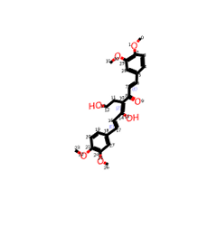 COc1ccc(/C=C/C(=O)/C(CCO)=C(O)/C=C/c2ccc(OC)c(OC)c2)cc1OC